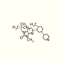 Cc1ccc(-c2ccncc2)cc1-c1ccc2c(n1)n(C)c(=O)n2CC(C)(C)C